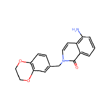 Nc1cccc2c(=O)n(Cc3ccc4c(c3)OCCO4)ccc12